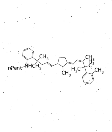 CCCCCNc1ccccc1C(C)(C)C/C=C/C1CC/C(=C\C=C(\C)C(C)(C)c2ccccc2C)C1C